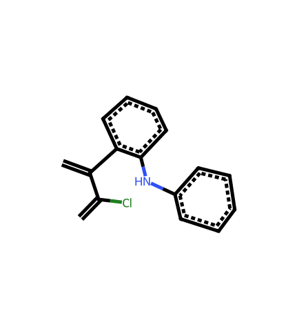 C=C(Cl)C(=C)c1ccccc1Nc1ccccc1